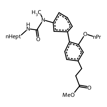 CCCCCCCNC(=O)N(C)c1cccc(-c2ccc(CCC(=O)OC)cc2OCCC)c1